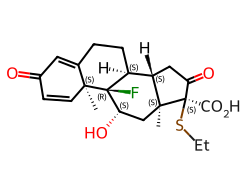 CCS[C@]1(C(=O)O)C(=O)C[C@H]2[C@@H]3CCC4=CC(=O)C=C[C@]4(C)[C@@]3(F)[C@@H](O)C[C@@]21C